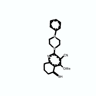 B=C1CCCc2nc(N3CCN(c4ccccc4)CC3)c(C#N)c(OC)c21